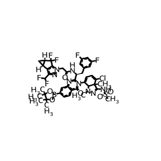 CN1N=C(NS(C)(=O)=O)C2(C)C(Cl)=CC=C(n3c([C@H](Cc4cc(F)cc(F)c4)NC(=O)Cn4nc(C(F)F)c5c4C(F)(F)[C@H]4C[C@@H]54)nc4cc(B5OC(C)(C)C(C)(C)O5)ccc4c3=O)C12